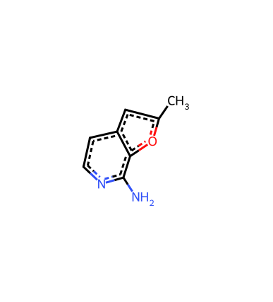 Cc1cc2ccnc(N)c2o1